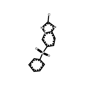 O=S(=O)(c1ccccc1)c1ccc2nc(Cl)nn2c1